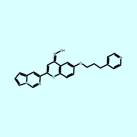 O/N=c1/cc(-c2cc3cccn3cn2)oc2ccc(OCCCc3ccncc3)cc12